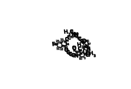 Cc1nn2c3c1-c1c(Cl)ccc4c1c(C)c(C=O)n4CCCOc1cc(cc4cc(F)ccc14)CCc1cc(nn1C)CCC3OCC2